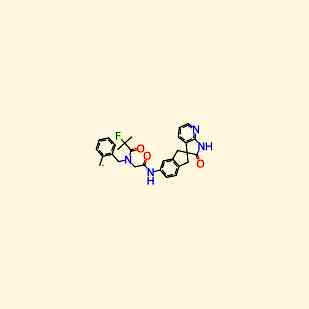 [CH2]c1ccccc1CN(CC(=O)Nc1ccc2c(c1)CC1(C2)C(=O)Nc2ncccc21)C(=O)C(C)(C)F